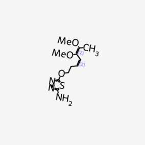 CO/C(C)=C(/C=C\CCOc1nnc(N)s1)OC